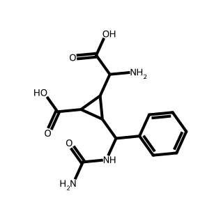 NC(=O)NC(c1ccccc1)C1C(C(=O)O)C1C(N)C(=O)O